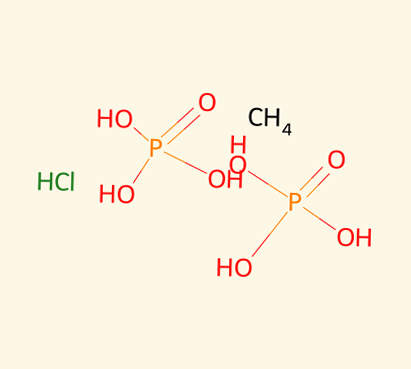 C.Cl.O=P(O)(O)O.O=P(O)(O)O